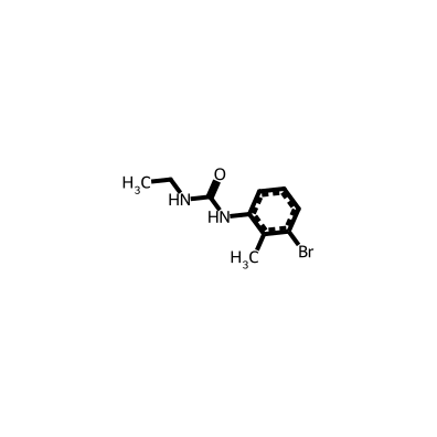 CCNC(=O)Nc1cccc(Br)c1C